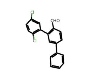 O=Cc1ccc(-c2ccccc2)cc1-c1cc(Cl)ccc1Cl